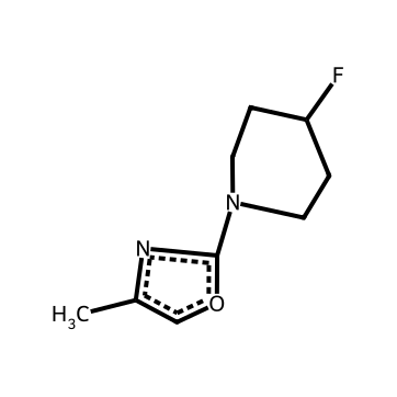 Cc1coc(N2CCC(F)CC2)n1